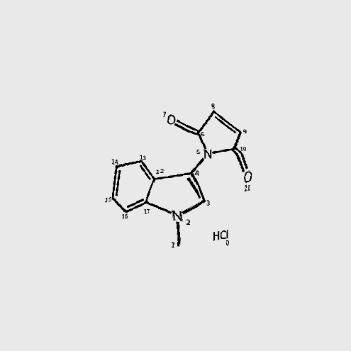 Cl.Cn1cc(N2C(=O)C=CC2=O)c2ccccc21